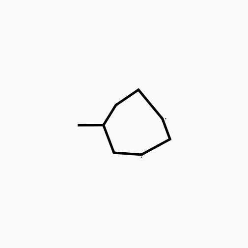 CC1C[CH]C[CH]CC1